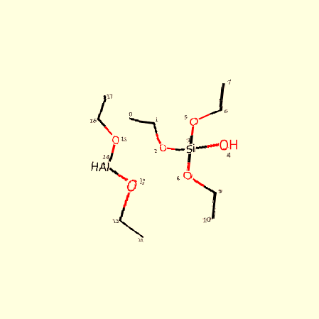 CCO[Si](O)(OCC)OCC.CC[O][AlH][O]CC